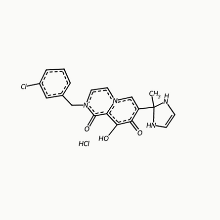 CC1(c2cn3ccn(Cc4cccc(Cl)c4)c(=O)c3c(O)c2=O)NC=CN1.Cl